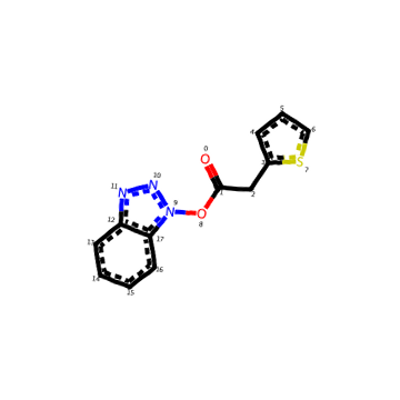 O=C(Cc1cccs1)On1nnc2ccccc21